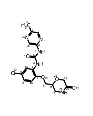 Cc1cnc(NC(=O)Nc2cc(Cl)ccc2OCC2CNC(=O)CO2)cn1